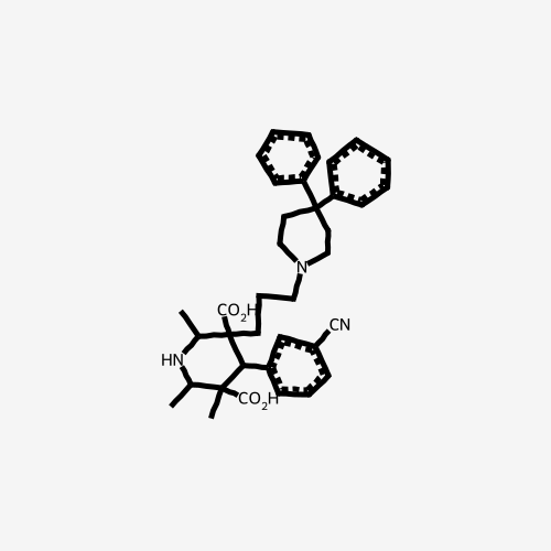 CC1NC(C)C(CCCN2CCC(c3ccccc3)(c3ccccc3)CC2)(C(=O)O)C(c2cccc(C#N)c2)C1(C)C(=O)O